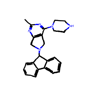 Cc1nc2c(c(N3CCNCC3)n1)CN(C1c3ccccc3-c3ccccc31)C2